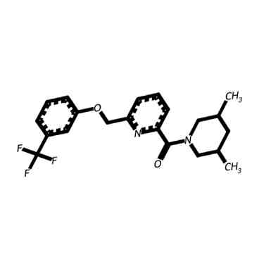 CC1CC(C)CN(C(=O)c2cccc(COc3cccc(C(F)(F)F)c3)n2)C1